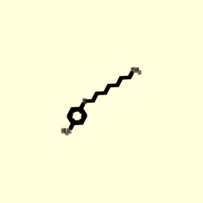 CCCCCCCCSc1ccc(C)cc1